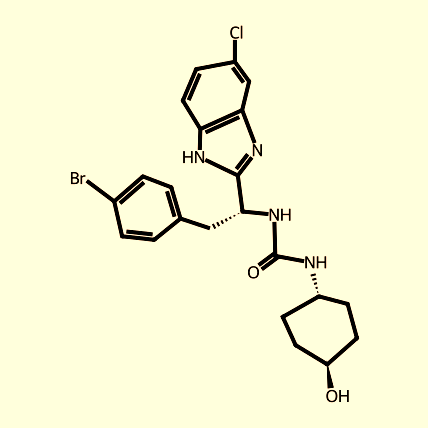 O=C(N[C@H](Cc1ccc(Br)cc1)c1nc2cc(Cl)ccc2[nH]1)N[C@H]1CC[C@H](O)CC1